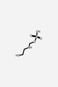 O=S(=O)(O)OCNCCS